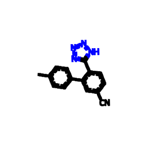 Cc1ccc(-c2cc(C#N)ccc2-c2nnn[nH]2)cc1